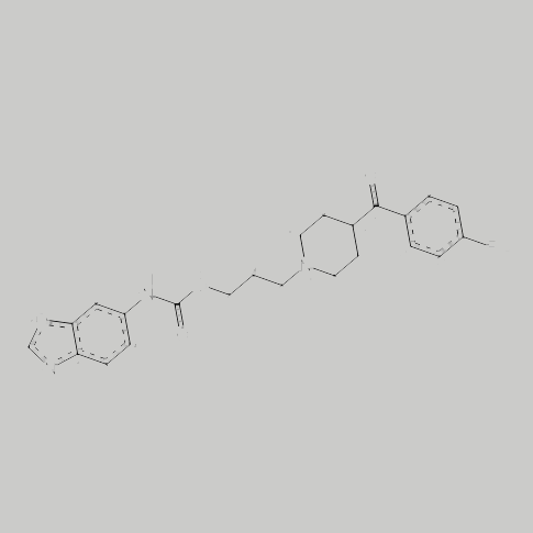 O=C(Nc1ccc2ncoc2c1)OCCCN1CCC(C(=O)c2ccc(F)cc2)CC1